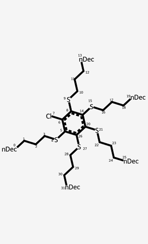 CCCCCCCCCCCCCSc1c(Cl)c(SCCCCCCCCCCCCC)c(SCCCCCCCCCCCCC)c(SCCCCCCCCCCCCC)c1SCCCCCCCCCCCCC